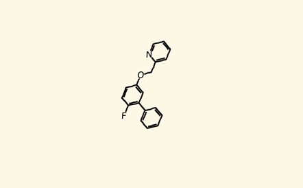 Fc1ccc(OCc2ccccn2)cc1-c1ccccc1